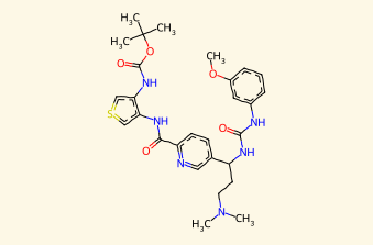 COc1cccc(NC(=O)NC(CCN(C)C)c2ccc(C(=O)Nc3cscc3NC(=O)OC(C)(C)C)nc2)c1